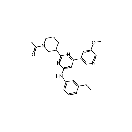 CCc1cccc(Nc2cc(-c3cncc(OC)c3)nc(C3CCCN(C(C)=O)C3)n2)c1